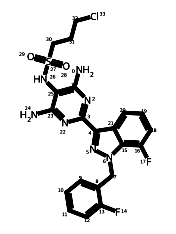 Nc1nc(-c2nn(Cc3ccccc3F)c3c(F)cccc23)nc(N)c1NS(=O)(=O)CCCCl